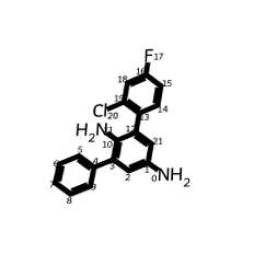 Nc1cc(-c2ccccc2)c(N)c(-c2ccc(F)cc2Cl)c1